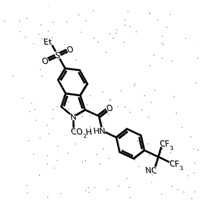 CCS(=O)(=O)c1ccc2c(C(=O)Nc3ccc(C(C#N)(C(F)(F)F)C(F)(F)F)cc3)n(C(=O)O)cc2c1